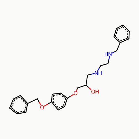 OC(CNCCNCc1ccccc1)COc1ccc(OCc2ccccc2)cc1